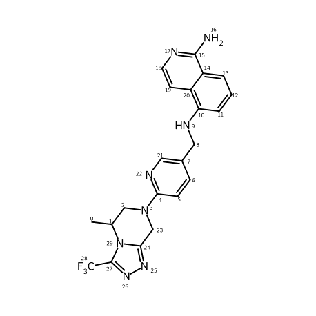 CC1CN(c2ccc(CNc3cccc4c(N)nccc34)cn2)Cc2nnc(C(F)(F)F)n21